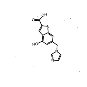 O=C(O)c1cc2c(O)cc(Cn3ccnc3)cc2s1